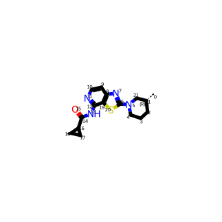 C[C@@H]1CCCN(c2nc3ccnc(NC(=O)C4CC4)c3s2)C1